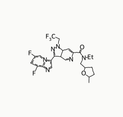 CCN(CC1CCC(C)O1)C(=O)C1=CC2C(C=N1)C(c1cnc3c(F)cc(F)cn13)=NN2CC(F)(F)F